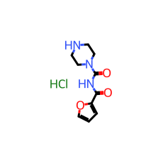 Cl.O=C(NC(=O)N1CCNCC1)c1ccco1